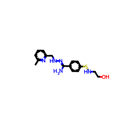 Cc1cccc(CN/N=C(\N)c2ccc(SNCCO)cc2)n1